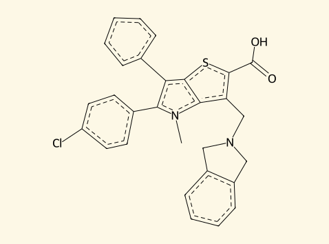 Cn1c(-c2ccc(Cl)cc2)c(-c2ccccc2)c2sc(C(=O)O)c(CN3Cc4ccccc4C3)c21